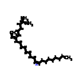 CCCCCCCC/C=C\CCCCCCCCN(CC)CCCCC(N)N